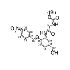 CC(C)(C)OC(=O)NCC(=O)Nc1cc(CO)ccc1OCc1ccc([N+](=O)[O-])cc1